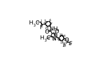 CC=C(F)c1cccc(NC(=O)C2C(=O)N(c3ccc(OC(F)F)cc3)N=C2C)c1